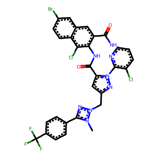 Cn1c(-c2ccc(C(F)(F)F)cc2)nn1Cc1cc(C(=O)Nc2c(C(N)=O)cc3cc(Br)ccc3c2Cl)n(-c2ncccc2Cl)n1